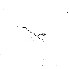 CCCCCCCC(CS)CCC